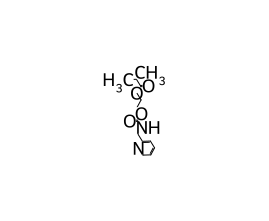 CC(C)C(=O)OCCOC(=O)NCc1ccccn1